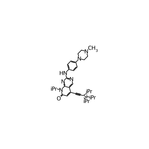 CC(C)n1c(=O)cc(C#C[Si](C(C)C)(C(C)C)C(C)C)c2cnc(Nc3ccc(N4CCN(C)CC4)cc3)nc21